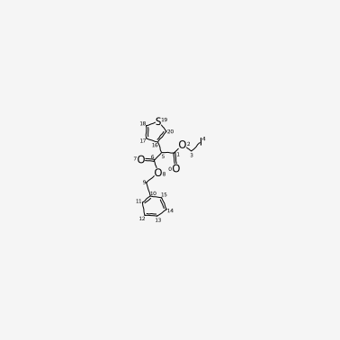 O=C(OCI)C(C(=O)OCc1ccccc1)c1ccsc1